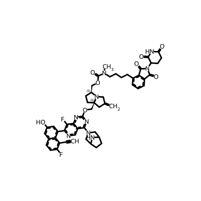 C#Cc1c(F)ccc2cc(O)cc(-c3ncc4c(N5CC6CCC(C5)N6)nc(OC[C@@]56CC[C@@H](COC(=O)N(C)CCCCc7cccc8c7C(=O)N(C7CCC(=O)NC7=O)C8=O)N5CC(=C)C6)nc4c3F)c12